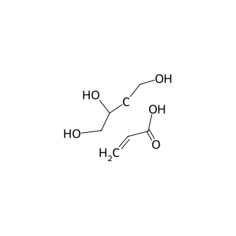 C=CC(=O)O.OCCC(O)CO